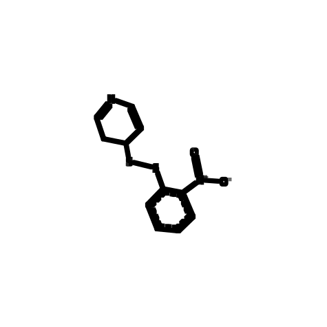 O=[N+]([O-])c1ccccc1SSC1C=CN=CC1